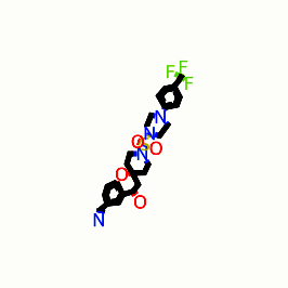 N#Cc1ccc2c(c1)C(=O)CC1(CCN(S(=O)(=O)N3CCN(c4ccc(C(F)(F)F)cc4)CC3)CC1)O2